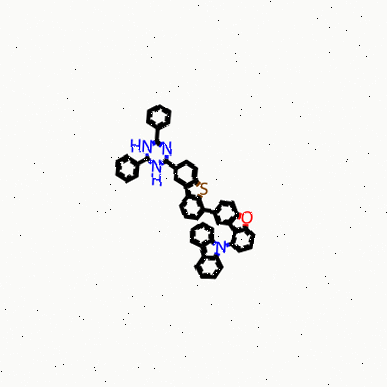 C1=c2sc3c(-c4ccc5oc6cccc(-n7c8ccccc8c8ccccc87)c6c5c4)cccc3c2=CC(C2N=C(c3ccccc3)NC(c3ccccc3)N2)C1